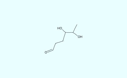 CC(O)C(O)[CH]CC=O